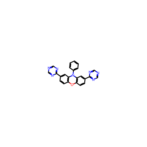 c1ccc(N2c3cc(-c4ncncn4)ccc3Oc3ccc(-c4ncncn4)cc32)cc1